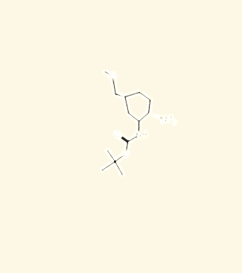 COC[C@H]1CC[C@H](N)C(NC(=O)OC(C)(C)C)C1